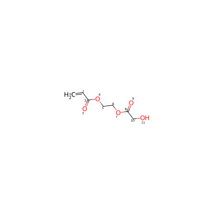 C=CC(=O)OCCOC(=O)CO